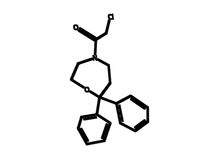 O=C(CCl)N1CCOC(c2ccccc2)(c2ccccc2)CC1